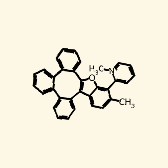 Cc1ccc2c3c(oc2c1-c1cccc[n+]1C)-c1ccccc1-c1ccccc1-c1ccccc1-3